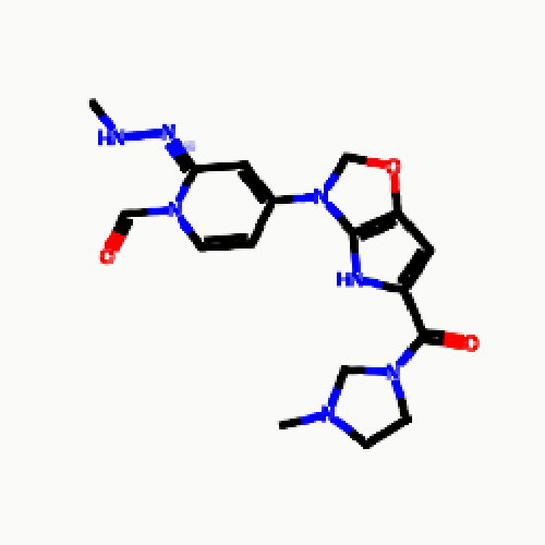 CN/N=c1/cc(N2COc3cc(C(=O)N4CCN(C)C4)[nH]c32)ccn1C=O